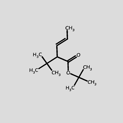 CC=CC(C(=O)OC(C)(C)C)C(C)(C)C